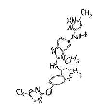 CCC(Nc1nc2ccc(Nc3cc(C)[nH]n3)cc2n1C)c1ccc(Oc2ncc(Cl)cn2)cc1F